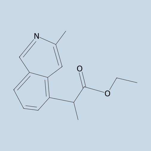 CCOC(=O)C(C)c1cccc2cnc(C)cc12